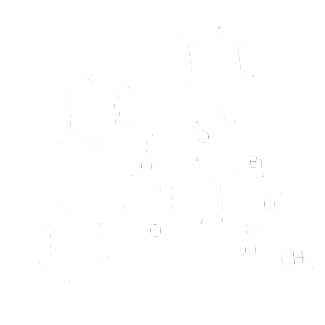 COC(=O)c1cc(OCc2ccccc2)c(OCc2ccccc2)c(OCc2ccccc2)c1Br